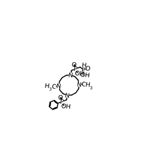 CN1CCCN(CP(=O)(O)c2ccccc2)CCN(C)CCCN(CP(=O)(O)C[PH](=O)O)CC1